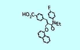 CCN(C(=O)/C(=C/c1ccc(C(=O)O)cc1)COc1cccc2ccccc12)c1ccc(F)cc1